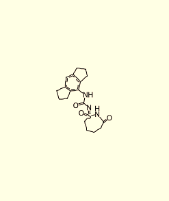 O=C1CCCCS(=O)(=NC(=O)Nc2c3c(cc4c2CCC4)CCC3)N1